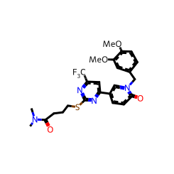 COc1ccc(Cn2cc(-c3cc(C(F)(F)F)nc(SCCCC(=O)N(C)C)n3)ccc2=O)cc1OC